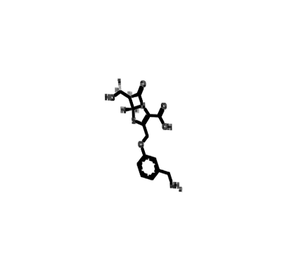 C[C@@H](O)[C@H]1C(=O)N2C(C(=O)O)=C(COc3cccc(CN)c3)S[C@H]12